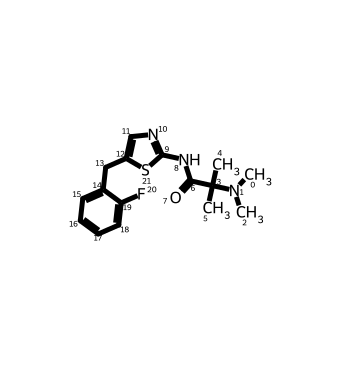 CN(C)C(C)(C)C(=O)Nc1ncc(Cc2ccccc2F)s1